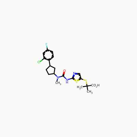 CN(C(=O)Nc1ncc(SC(C)(C)C(=O)O)s1)C1CCC(c2ccc(F)cc2Cl)C1